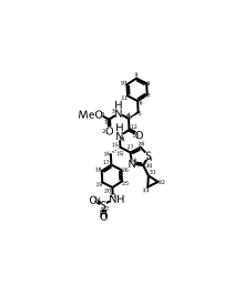 COC(=O)N[C@@H](Cc1ccccc1)C(=O)N[C@@H](CC1=CCC(N[SH](=O)=O)C=C1)c1csc(C2CC2)n1